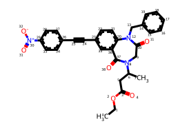 CCOC(=O)CC(C)N1CC(=O)N(Cc2ccccc2)c2ccc(C#Cc3ccc([N+](=O)[O-])cc3)cc2C1=O